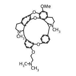 COc1cc2c3c4c1Oc1cc5c(cc1O4)C(Cc1ccc(OCCN(C)C)c(c1)Oc1ccc(cc1)CC3N(C)CC2)N(C)CC5